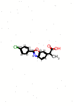 CC(C(=O)O)c1ccc2nc(-c3ccc(Cl)cc3)oc2c1